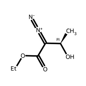 CCOC(=O)C(=[N+]=[N-])[C@@H](C)O